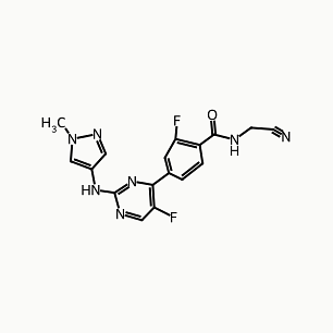 Cn1cc(Nc2ncc(F)c(-c3ccc(C(=O)NCC#N)c(F)c3)n2)cn1